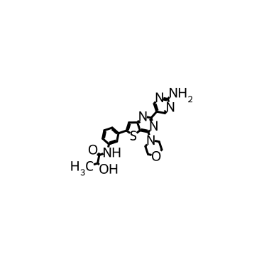 CC(O)C(=O)Nc1cccc(-c2cc3nc(-c4cnc(N)nc4)nc(N4CCOCC4)c3s2)c1